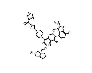 Nc1nc2c(-c3c(Cl)cc4c(N5CCN(C6CN(C(=O)n7cncn7)C6)CC5)nc(OC[C@@]56CCCN5C[C@H](F)C6)nc4c3F)ccc(F)c2s1